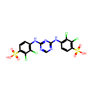 O=S(=O)(O)c1ccc(Nc2ncnc(Nc3ccc(S(=O)(=O)O)c(Cl)c3Cl)n2)c(Cl)c1Cl